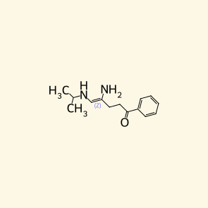 CC(C)N/C=C(\N)CCC(=O)c1ccccc1